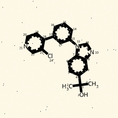 CC(C)(O)c1ccc2c(c1)ncn2-c1cccc(-c2ccncc2Cl)c1